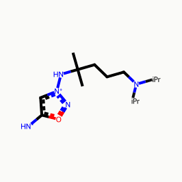 CC(C)N(CCCC(C)(C)N[n+]1cc([NH-])on1)C(C)C